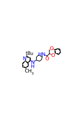 Cc1ccc2nc(C(C)(C)C)cc(NC3CCC(NC(=O)C4COc5ccccc5O4)CC3)c2c1